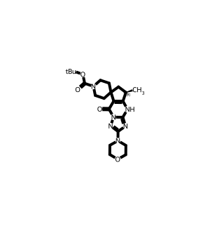 C[C@@H]1CC2(CCN(C(=O)OC(C)(C)C)CC2)c2c1[nH]c1nc(N3CCOCC3)nn1c2=O